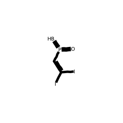 B=P(=O)C=C(I)I